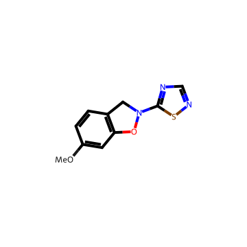 COc1ccc2c(c1)ON(c1ncns1)C2